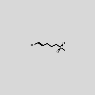 CS(=O)(=O)CCCC=CO